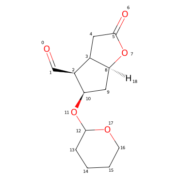 O=C[C@H]1C2CC(=O)O[C@H]2C[C@H]1OC1CCCCO1